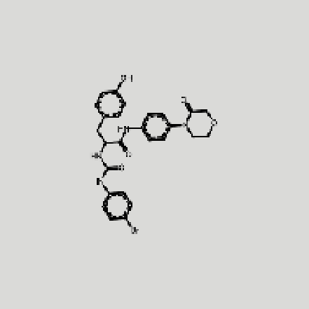 O=C(Nc1ccc(Br)cc1)NC(Cc1ccc(O)cc1)C(=O)Nc1ccc(N2CCOCC2=O)cc1